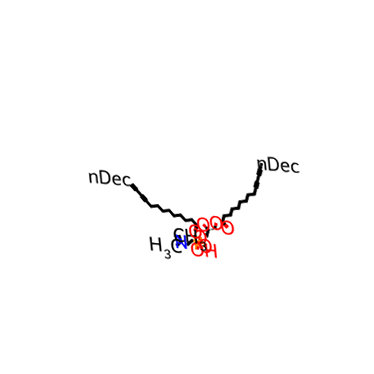 CCCCCCCCCCC#CC#CCCCCCCCCC(=O)OC[C@H](COP(=O)(O)CCN(C)C)OC(=O)CCCCCCCCC#CC#CCCCCCCCCCC